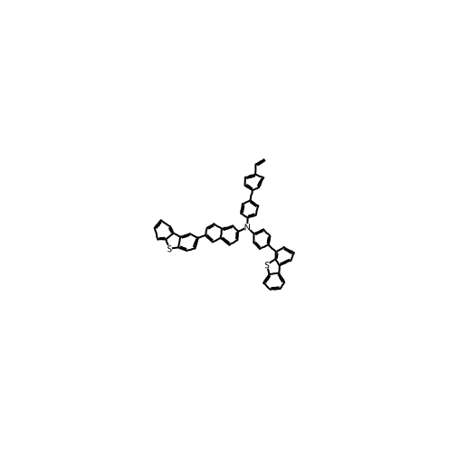 C=Cc1ccc(-c2ccc(N(c3ccc(-c4cccc5c4sc4ccccc45)cc3)c3ccc4cc(-c5ccc6sc7ccccc7c6c5)ccc4c3)cc2)cc1